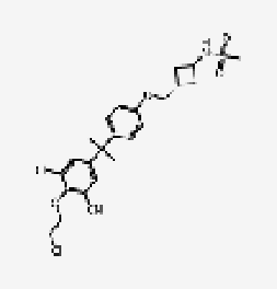 CC(C)(c1ccc(OC[C@H]2C[C@H](NS(C)(=O)=O)C2)cc1)c1cc(Cl)c(OCCCl)c(C#N)c1